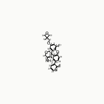 CC1(COc2cc(F)c3c(c2)[C@]2(COCC(N)=N2)c2cc(-c4cccnc4F)ccc2O3)COC1